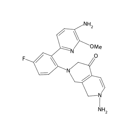 COc1nc(-c2cc(F)ccc2N2CC(=O)C3=C(CN(N)C=C3)C2)ccc1N